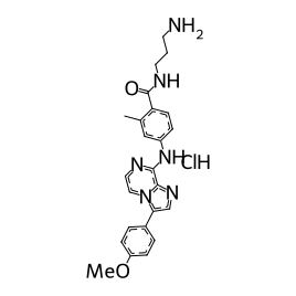 COc1ccc(-c2cnc3c(Nc4ccc(C(=O)NCCCN)c(C)c4)nccn23)cc1.Cl